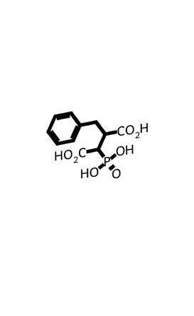 O=C(O)C(Cc1ccccc1)C(C(=O)O)P(=O)(O)O